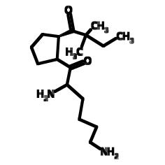 CCC(C)(C)C(=O)[C@@H]1CCCC1C(=O)C(N)CCCCN